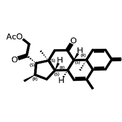 CC(=O)OCC(=O)[C@H]1[C@H](C)C[C@H]2[C@@H]3C=C(C)C4=CC(=O)C=C[C@]4(C)[C@H]3C(=O)C[C@@]21C